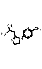 Cc1ccc([SH]2CCN=C2CC(C)C)cn1